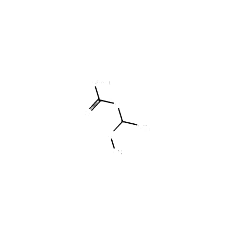 CCCCCC(=O)OC(C)OC#N